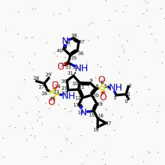 CC(C)CNS(=O)(=O)c1cc2c(c3cnc(C4CC4)cc13)[C@@H](NS(=O)(=O)CC(C)C)C[C@@H]2NC(=O)c1cccnc1